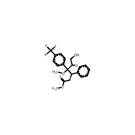 COC(=O)CC(c1ccccc1)C(OC)(c1ccc(C(F)(F)F)cc1)C(Cl)CO